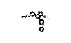 C=CCOCN1CCC[C@@H](n2nc(-c3ccc(Oc4ccccc4)cc3)c3c(N)ncnc32)C1